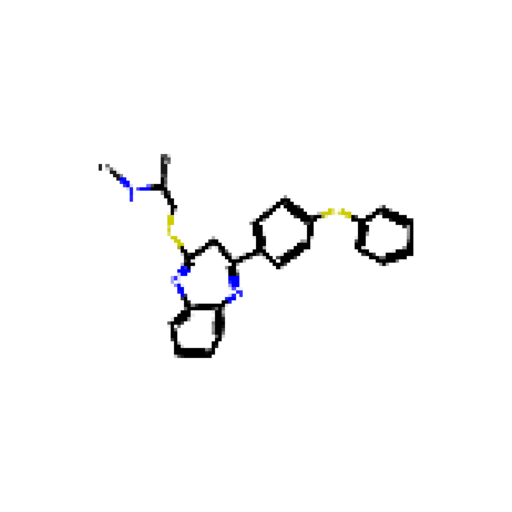 CCNC(CC)CSC1=Nc2ccccc2N=C(c2ccc(Sc3ccccc3)cc2)C1